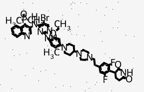 CCOc1cc(N2CCC(N3CCN(CCc4cc(F)c(C5CCC(=O)NC5=O)c(F)c4)CC3)CC2)c(C)cc1Nc1ncc(Br)c(Nc2cnc3ccccc3c2P(C)(C)=O)n1